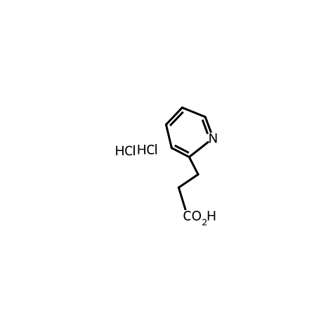 Cl.Cl.O=C(O)CCc1ccccn1